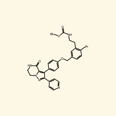 CC(C)c1ccc(COc2ccc(-c3c(-c4ccncc4)nn4c3C(=O)NCC4)cc2)cc1CCNC(=O)OC(C)(C)C